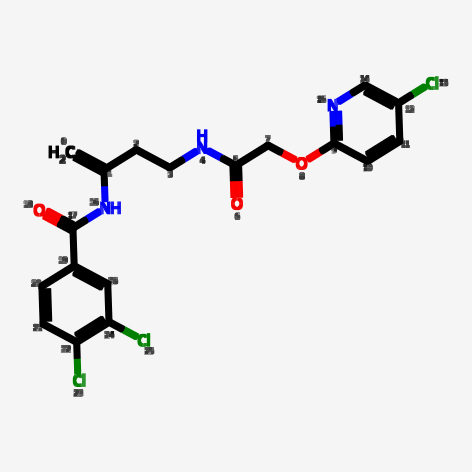 C=C(CCNC(=O)COc1ccc(Cl)cn1)NC(=O)c1ccc(Cl)c(Cl)c1